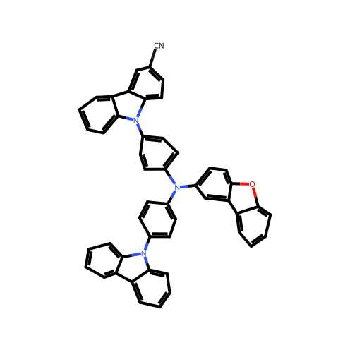 N#Cc1ccc2c(c1)c1ccccc1n2-c1ccc(N(c2ccc(-n3c4ccccc4c4ccccc43)cc2)c2ccc3oc4ccccc4c3c2)cc1